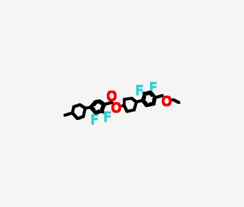 CCOCc1ccc(C2CCC(OC(=O)c3ccc(C4CCC(C)CC4)c(F)c3F)CC2)c(F)c1F